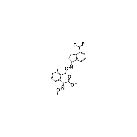 CO/N=C(/C(=O)OC)c1cccc(C)c1CO/N=C1\CCc2c1cccc2C(F)F